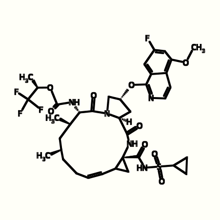 COc1cc(F)cc2c(O[C@@H]3C[C@H]4C(=O)N[C@]5(C(=O)NS(=O)(=O)C6CC6)CC5/C=C\CC[C@@H](C)C[C@@H](C)[C@H](NC(=O)O[C@H](C)C(F)(F)F)C(=O)N4C3)nccc12